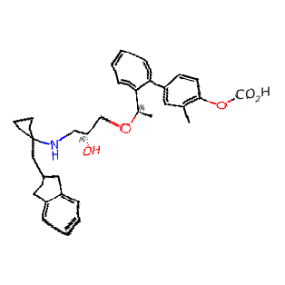 Cc1cc(-c2ccccc2[C@@H](C)OC[C@H](O)CNC2(CC3Cc4ccccc4C3)CC2)ccc1OC(=O)O